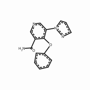 NC(=O)c1cncc(-n2cccn2)c1Oc1ccccc1